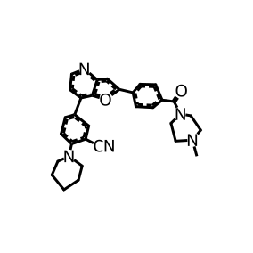 CN1CCN(C(=O)c2ccc(-c3cc4nccc(-c5ccc(N6CCCCC6)c(C#N)c5)c4o3)cc2)CC1